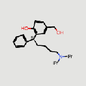 CC(C)N(CCCC[C@@H](c1ccccc1)c1cc(CO)ccc1O)C(C)C